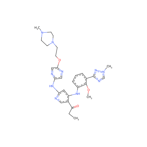 CCC(=O)c1cnc(Nc2cnc(OCCN3CCN(C)CC3)cn2)cc1Nc1cccc(-c2ncn(C)n2)c1OC